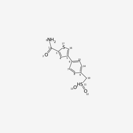 NC(=O)c1cc(-c2ccc(C[SH](=O)=O)cc2)cs1